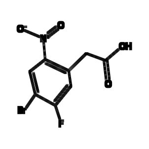 O=C(O)Cc1cc(F)c(Br)cc1[N+](=O)[O-]